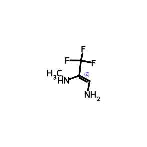 CN/C(=C\N)C(F)(F)F